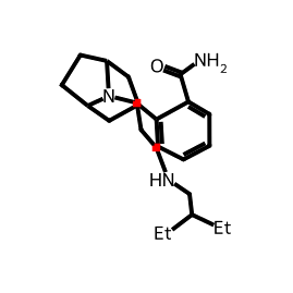 CCC(CC)CNCCCN1C2CCC1CC(c1ccccc1C(N)=O)C2